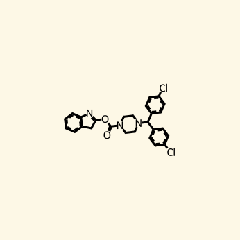 O=C(OC1=Nc2ccccc2C1)N1CCN(C(c2ccc(Cl)cc2)c2ccc(Cl)cc2)CC1